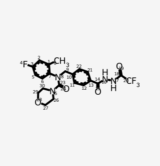 Cc1cc(F)ccc1N(Cc1ccc(C(=O)NNC(=O)C(F)(F)F)cc1)C(=O)N1CCOCC1